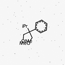 COCC(COC)(c1ccccc1)C(C)C